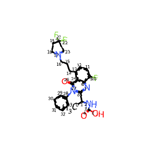 CC(NC(=O)O)c1nc2c(F)ccc(CCCN3CCC(F)(F)C3)c2c(=O)n1-c1ccccc1